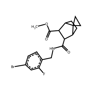 COC(=O)C1C(C(=O)NCc2ccc(Br)cc2F)C2CCC1C21CC1